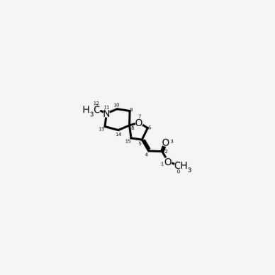 COC(=O)/C=C1\COC2(CCN(C)CC2)C1